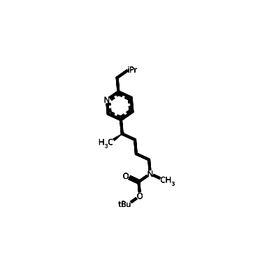 CC(C)Cc1ccc([C@H](C)CCCN(C)C(=O)OC(C)(C)C)cn1